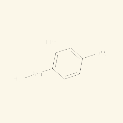 Br.COc1cc[c]([Mg][CH3])cc1